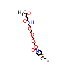 CSC1CCN(C(=O)OCCOCCOCCOCCNC(=O)CCC(C)=O)CC1